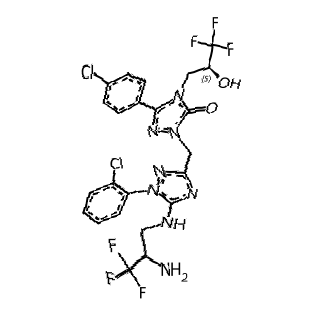 NC(CNc1nc(Cn2nc(-c3ccc(Cl)cc3)n(C[C@H](O)C(F)(F)F)c2=O)nn1-c1ccccc1Cl)C(F)(F)F